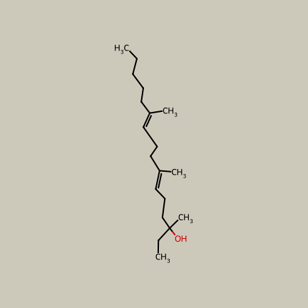 CCCCC/C(C)=C/CC/C(C)=C/CCC(C)(O)CC